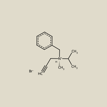 C#CC[N@@+](C)(Cc1ccccc1)C(C)C.[Br-]